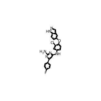 Nc1nc(Nc2ccc(Oc3ccc4[nH]ncc4c3)c(Cl)c2)cc(-c2ccc(F)cc2)n1